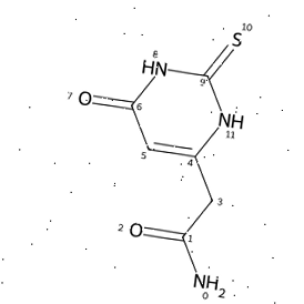 NC(=O)Cc1cc(=O)[nH]c(=S)[nH]1